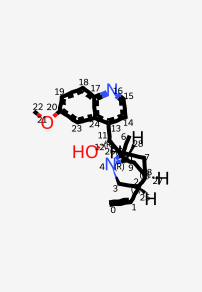 C=C[C@@H]1C[N@@]2[C@@H](C)C[C@@H]1C[C@H]2[C@H](O)c1ccnc2ccc(OC)cc12